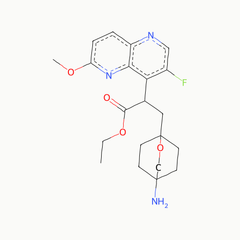 CCOC(=O)C(CC12CCC(N)(CC1)CO2)c1c(F)cnc2ccc(OC)nc12